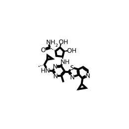 Cc1nc(N[C@H](C)C2CC2)nc(N[C@@H]2C[C@H](C(N)=O)[C@@H](O)[C@H]2O)c1-c1nc2c(C3CC3)nccc2s1